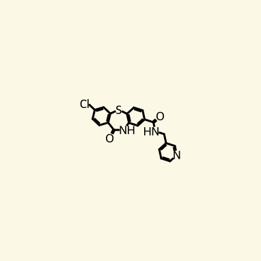 O=C(NCc1cccnc1)c1ccc2c(c1)NC(=O)c1ccc(Cl)cc1S2